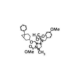 COC(=O)N1[C@H](C)C[C@H](N(Cc2ccc(OC)cc2)S(C)(=O)=O)[C@@H]1COC1CCC2(c3ccccc3)CC2C1